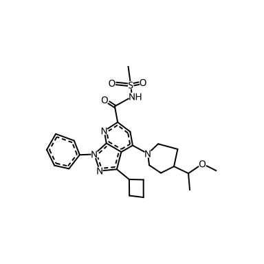 COC(C)C1CCN(c2cc(C(=O)NS(C)(=O)=O)nc3c2c(C2CCC2)nn3-c2ccccc2)CC1